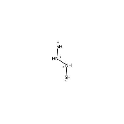 SNNS